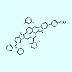 Cc1cccc(C)c1-c1cc2c3sc4ccc(N(c5ccccc5)c5ccccc5)cc4c3cc3c(-c4c(C)cccc4C)cc4c5sc6cc(-c7ccc(C(C)(C)C)cc7)ccc6c5cc1c4c32